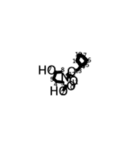 O=C(O)[C@@H]1CC[C@H](O)CN1C(=O)OCc1ccccc1